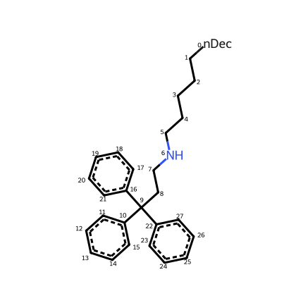 CCCCCCCCCCCCCCCNCCC(c1ccccc1)(c1ccccc1)c1ccccc1